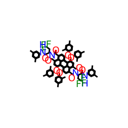 Cc1cc(C)cc(NC(=O)C(CC(F)(F)F)N2C(=O)c3cc(Oc4ccc(C)cc4C)c4c5c(Oc6ccc(C)cc6C)cc6c7c(cc(Oc8ccc(C)cc8C)c(c8c(Oc9ccc(C)cc9C)cc(c3c48)C2=O)c75)C(=O)N(C(CC(F)(F)F)C(=O)Nc2cc(C)cc(C)c2)C6=O)c1